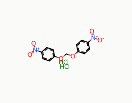 Cl.Cl.O=[N+]([O-])c1ccc(OCOc2ccc([N+](=O)[O-])cc2)cc1